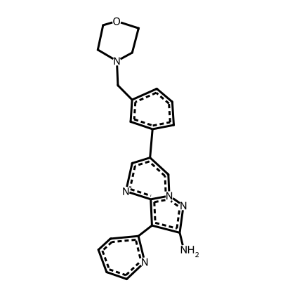 Nc1nn2cc(-c3cccc(CN4CCOCC4)c3)cnc2c1-c1ccccn1